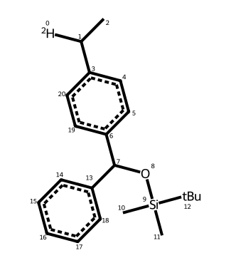 [2H]C(C)c1ccc(C(O[Si](C)(C)C(C)(C)C)c2ccccc2)cc1